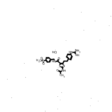 CC(=O)Nc1nc(CCc2ccc(NC(=N)N)cc2)c(C(=O)NCc2ccc(S(C)(=O)=O)cc2)s1.Cl